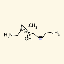 CC/C=C\C[C@@H](O)[C@]1(C)C=C1CN